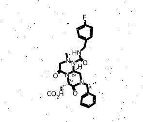 C[C@H](c1ccccc1)N1C[C@H]2N(C(=O)CN(C)N2C(=O)NCc2ccc(F)cc2)[C@@H](CC(=O)O)C1=O